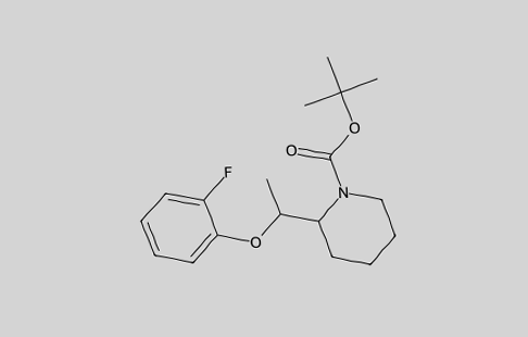 CC(Oc1ccccc1F)C1CCCCN1C(=O)OC(C)(C)C